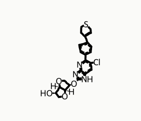 O[C@@H]1CO[C@H]2[C@@H]1OC[C@H]2Oc1nc2nc(-c3ccc(C4=CCSCC4)cc3)c(Cl)cc2[nH]1